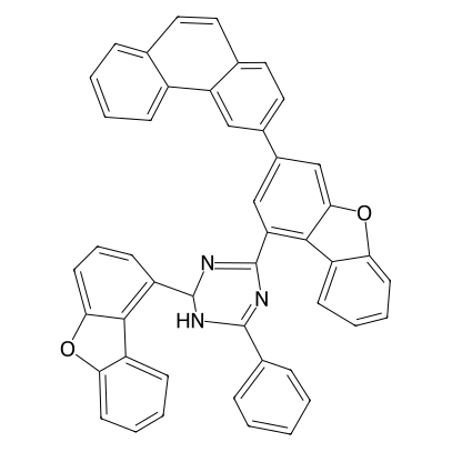 c1ccc(C2=NC(c3cc(-c4ccc5ccc6ccccc6c5c4)cc4oc5ccccc5c34)=NC(c3cccc4oc5ccccc5c34)N2)cc1